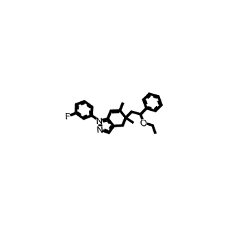 CCOC(CC1(C)Cc2cnn(-c3cccc(F)c3)c2C=C1C)c1ccccc1